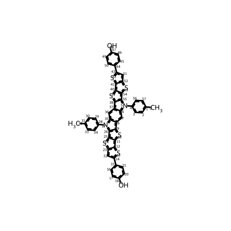 Cc1ccc(-n2c3cc4c5sc6c7sc(-c8ccc(O)cc8)cc7sc6c5n(-c5ccc(C)cc5)c4cc3c3sc4c5sc(-c6ccc(O)cc6)cc5sc4c32)cc1